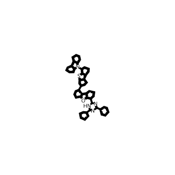 c1ccc(C2=NC(c3cccc4c3oc3cccc(-c5ccc6c(c5)sc5c(-n7c8ccccc8c8ccccc87)cccc56)c34)NC(c3ccccc3)=N2)cc1